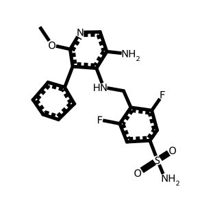 COc1ncc(N)c(NCc2c(F)cc(S(N)(=O)=O)cc2F)c1-c1ccccc1